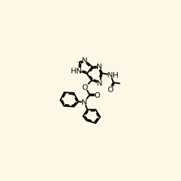 CC(=O)Nc1nc(OC(=O)N(c2ccccc2)c2ccccc2)c2[nH][c]nc2n1